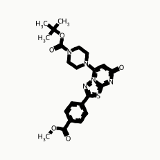 COC(=O)c1ccc(-c2nn3c(N4CCN(C(=O)OC(C)(C)C)CC4)cc(=O)nc3s2)cc1